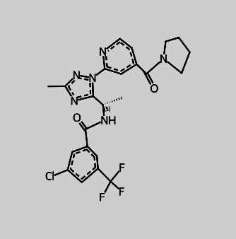 Cc1nc([C@H](C)NC(=O)c2cc(Cl)cc(C(F)(F)F)c2)n(-c2cc(C(=O)N3CCCC3)ccn2)n1